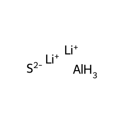 [AlH3].[Li+].[Li+].[S-2]